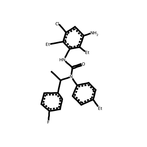 CCc1ccc(N(C(=O)Nc2c(CC)c(N)cc(Cl)c2CC)C(C)c2ccc(F)cc2)cc1